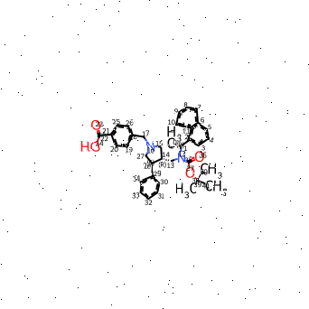 C[C@H](c1cccc2ccccc12)N(C[C@H]1CN(Cc2ccc(C(=O)O)cc2)C[C@@H]1c1ccccc1)C(=O)OC(C)(C)C